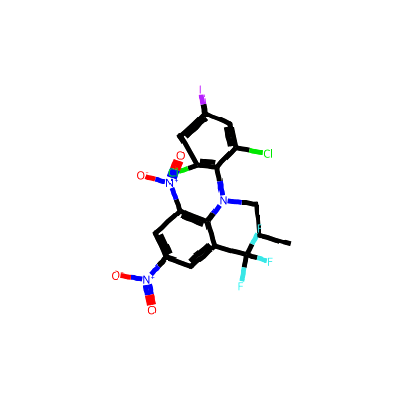 CCCN(c1c(Cl)cc(I)cc1Cl)c1c([N+](=O)[O-])cc([N+](=O)[O-])cc1C(F)(F)F